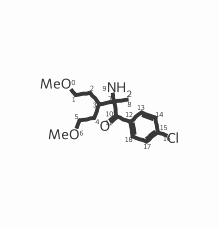 COCCC(CCOC)C(C)(N)C(=O)c1ccc(Cl)cc1